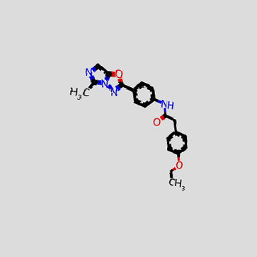 CCOc1ccc(CC(=O)Nc2ccc(-c3nn4c(C)ncc4o3)cc2)cc1